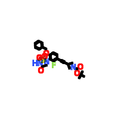 CC(C)(C)OC(=O)N1CC(C#Cc2ccc(OCc3ccccc3)c(N3CC(=O)NS3(=O)=O)c2F)C1